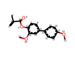 C=C(C)C(=O)Oc1ccc(-c2ccc(OC)cc2)cc1OC